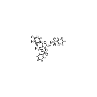 C[C@H]1[C@H](OS(=O)(=O)c2ccccc2)[C@@H](COS(=O)(=O)c2ccccc2)O[C@H]1n1ccc(=O)[nH]c1=O